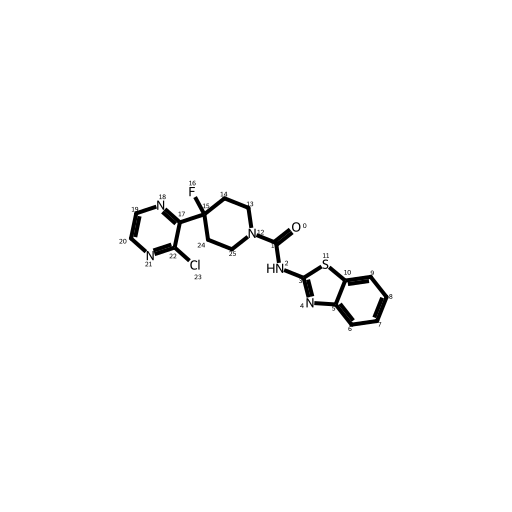 O=C(Nc1nc2ccccc2s1)N1CCC(F)(c2nccnc2Cl)CC1